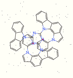 c1ccc(-n2ccc3ccc4c5ccccc5n(-c5nc(-n6c7ccccc7c7ccccc76)nc(-n6c7ccccc7c7ccc8ccn(-c9ccccc9)c8c76)n5)c4c32)cc1